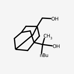 CCCCC(C)(O)C12CC3CC(CC(CO)(C3)C1)C2